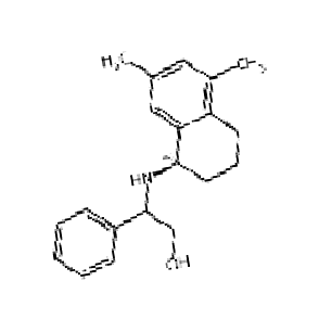 Cc1cc(C)c2c(c1)[C@H](NC(CO)c1ccccc1)CCC2